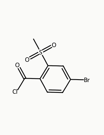 CS(=O)(=O)c1cc(Br)ccc1C(=O)Cl